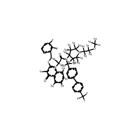 [2H]c1c([2H])c([2H])c2c(c1[2H])c(=O)c([2H])c(SCc1cccc(F)c1F)n2C([2H])([2H])C(=O)N(C([2H])([2H])c1ccc(-c2ccc(C(F)(F)F)cc2)cc1)C1([2H])C([2H])([2H])C([2H])([2H])N(C([2H])([2H])C([2H])([2H])OC([2H])([2H])[2H])C([2H])([2H])C1([2H])[2H]